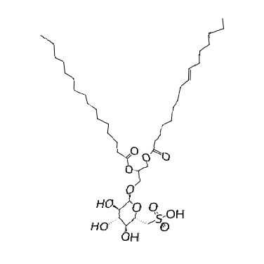 CCCCCCC=CCCCCCCCC(=O)OCC(CO[C@H]1O[C@H](CS(=O)(=O)O)[C@@H](O)[C@H](O)[C@H]1O)OC(=O)CCCCCCCCCCCCCCC